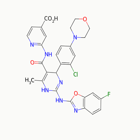 CC1=C(C(=O)Nc2cc(C(=O)O)ccn2)C(c2ccc(N3CCOCC3)cc2Cl)N=C(Nc2nc3ccc(F)cc3o2)N1